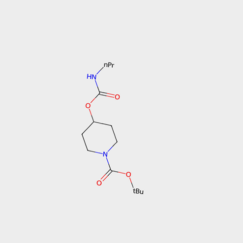 CCCNC(=O)OC1CCN(C(=O)OC(C)(C)C)CC1